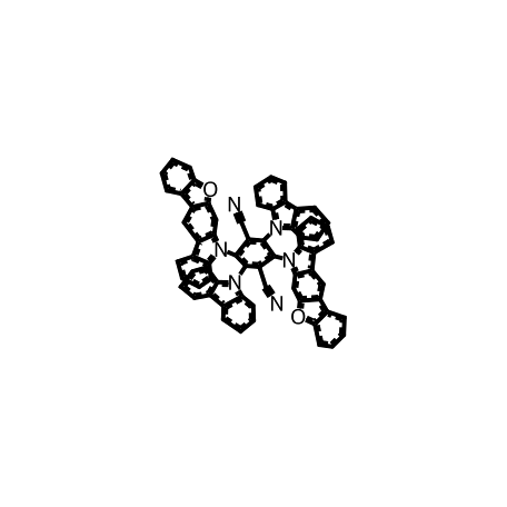 N#Cc1c(-n2c3ccccc3c3ccccc32)c(-n2c3ccccc3c3cc4c(cc32)oc2ccccc24)c(C#N)c(-n2c3ccccc3c3ccccc32)c1-n1c2ccccc2c2cc3c(cc21)oc1ccccc13